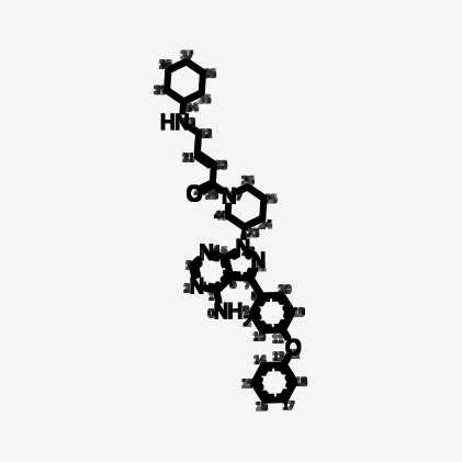 Nc1ncnc2c1c(-c1ccc(Oc3ccccc3)cc1)nn2[C@@H]1CCCN(C(=O)C=CCNC2CCCCC2)C1